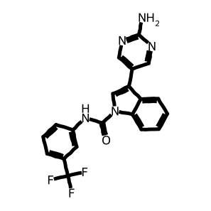 Nc1ncc(-c2cn(C(=O)Nc3cccc(C(F)(F)F)c3)c3ccccc23)cn1